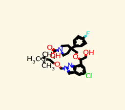 C[Si](C)(C)CCOCn1cc2cc(Cl)cc(C(CO)OCC3(c4ccc(F)cc4)CCN(C(=O)O)CC3)c2n1